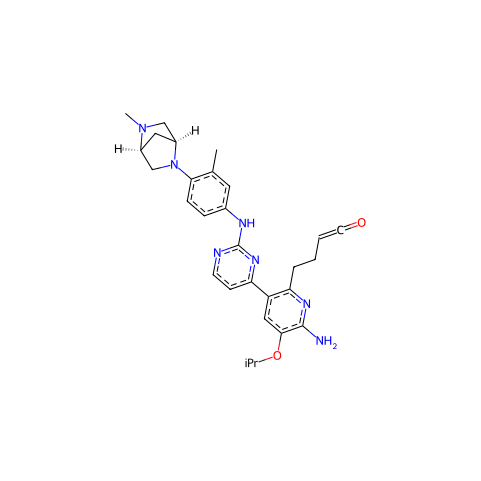 Cc1cc(Nc2nccc(-c3cc(OC(C)C)c(N)nc3CCC=C=O)n2)ccc1N1C[C@@H]2C[C@H]1CN2C